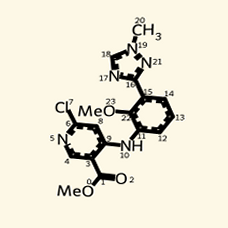 COC(=O)c1cnc(Cl)cc1Nc1cccc(-c2ncn(C)n2)c1OC